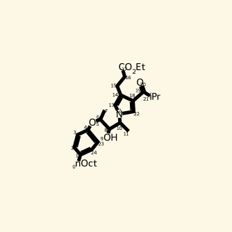 CCCCCCCCc1ccc(OC(C)C(O)C(C)n2cc(CCC(=O)OCC)c(C(=O)C(C)C)c2)cc1